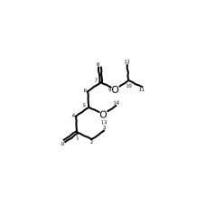 C=C(CC)CC(CC(=C)OC(C)C)OC